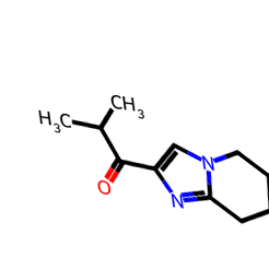 CC(C)C(=O)c1cn2c(n1)CCCC2